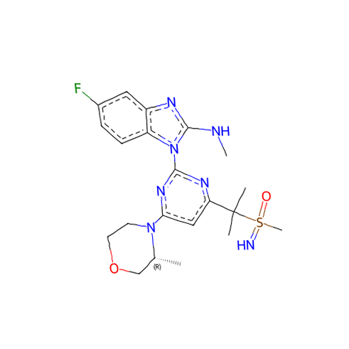 CNc1nc2cc(F)ccc2n1-c1nc(N2CCOC[C@H]2C)cc(C(C)(C)S(C)(=N)=O)n1